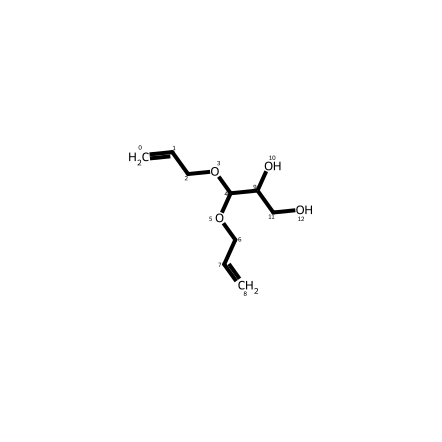 C=CCOC(OCC=C)C(O)CO